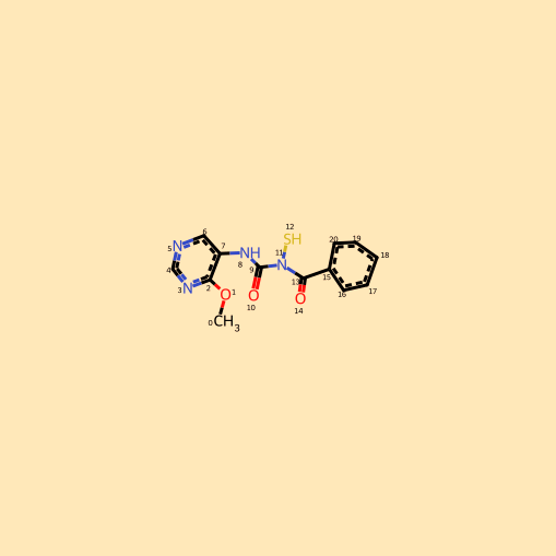 COc1ncncc1NC(=O)N(S)C(=O)c1ccccc1